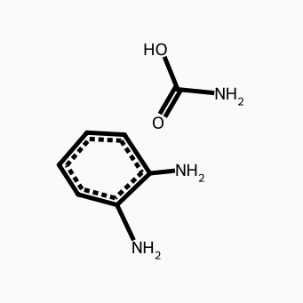 NC(=O)O.Nc1ccccc1N